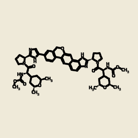 COC(=O)N[C@H](C(=O)N1CCC[C@H]1c1ncc(-c2ccc3c(c2)COc2cc4c(ccc5nc([C@@H]6CCCN6C(=O)[C@@H](NC(=O)OC)C6C[C@@H](C)O[C@H](C)C6)[nH]c54)cc2-3)[nH]1)C1C[C@@H](C)O[C@H](C)C1